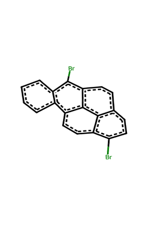 Brc1ccc2ccc3c(Br)c4ccccc4c4ccc1c2c34